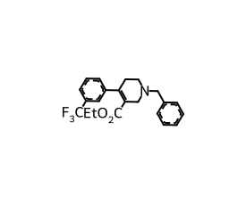 CCOC(=O)C1=C(c2cccc(C(F)(F)F)c2)CCN(Cc2ccccc2)C1